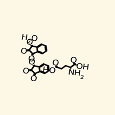 N[C@@H](CCC(=O)O)C(=O)O.O.O=c1c(=O)c2ccccc2c1=O.O=c1c(=O)c2ccccc2c1=O